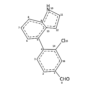 O=Cc1ccc(-c2cccc3[nH]ccc23)c(Cl)c1